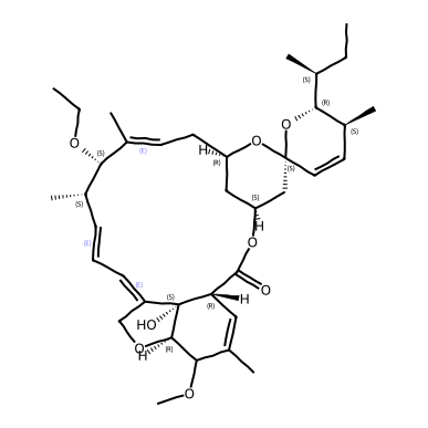 CCO[C@@H]1/C(C)=C/C[C@@H]2C[C@@H](C[C@]3(C=C[C@H](C)[C@@H]([C@@H](C)CC)O3)O2)OC(=O)[C@@H]2C=C(C)C(OC)[C@H]3OC/C(=C\C=C\[C@@H]1C)[C@]32O